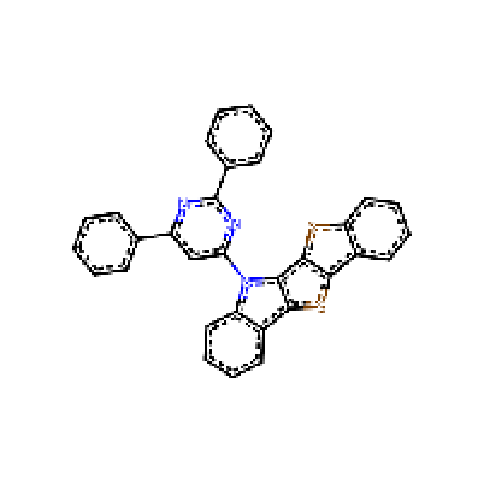 c1ccc(-c2cc(-n3c4ccccc4c4sc5c6ccccc6sc5c43)nc(-c3ccccc3)n2)cc1